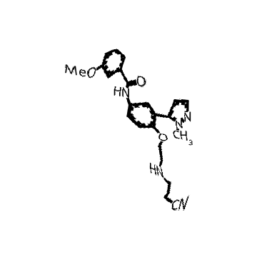 COc1cccc(C(=O)Nc2ccc(OCCNCCC#N)c(-c3ccnn3C)c2)c1